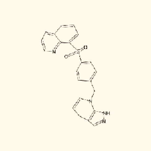 O=S(=O)(c1ccc(CN2C=CCc3cn[nH]c32)cc1)c1cccc2cccnc12